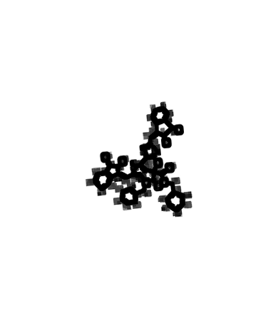 O=C1C(=O)c2ccccc2/C1=C/c1nc2c(s1)-c1sc(/C=C3\C(=O)C(=O)c4ccccc43)nc1C(C(=O)OCc1ccccc1)(C(=O)OCc1ccccc1)O2